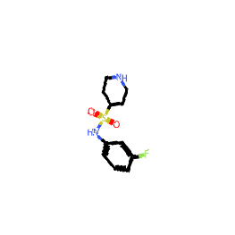 O=S(=O)(Nc1cccc(F)c1)C1CCNCC1